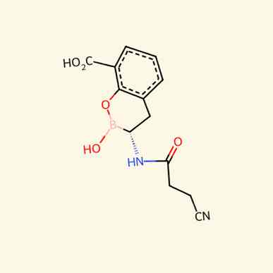 N#CCCC(=O)N[C@H]1Cc2cccc(C(=O)O)c2OB1O